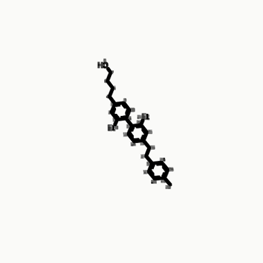 CCc1cc(CCCCO)ccc1-c1ccc(CCc2ccc(C)cc2)cc1CC